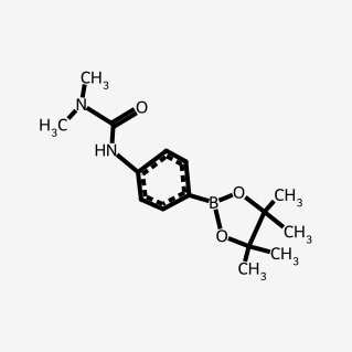 CN(C)C(=O)Nc1ccc(B2OC(C)(C)C(C)(C)O2)cc1